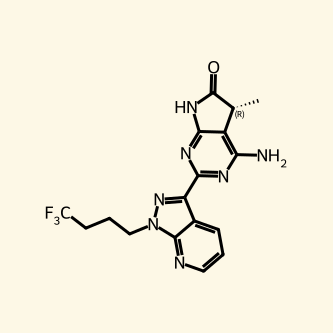 C[C@H]1C(=O)Nc2nc(-c3nn(CCCC(F)(F)F)c4ncccc34)nc(N)c21